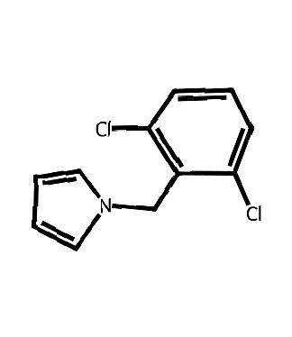 Clc1cccc(Cl)c1Cn1cccc1